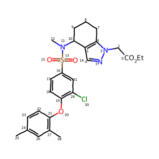 CCOC(=O)Cn1ncc2c1CCCC2N(C)S(=O)(=O)c1ccc(Oc2ccc(C)cc2C)c(Cl)c1